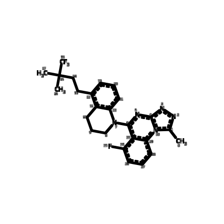 Cc1nnc2nc(N3CCCc4c(CCC(C)(C)C(F)(F)F)cccc43)c3c(F)cccc3n12